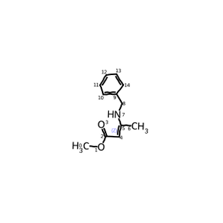 COC(=O)/C=C(/C)NCc1ccccc1